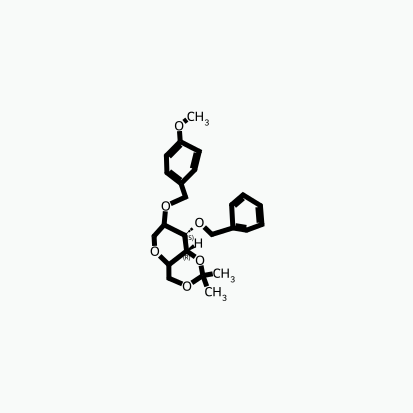 COc1ccc(COC2COC3COC(C)(C)O[C@H]3[C@H]2OCc2ccccc2)cc1